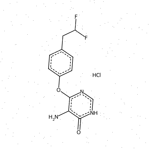 Cl.Nc1c(Oc2ccc(CC(F)F)cc2)nc[nH]c1=O